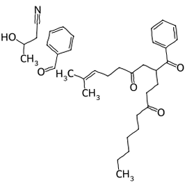 CC(O)CC#N.CCCCCCC(=O)CCC(CC(=O)CCC=C(C)C)C(=O)c1ccccc1.O=Cc1ccccc1